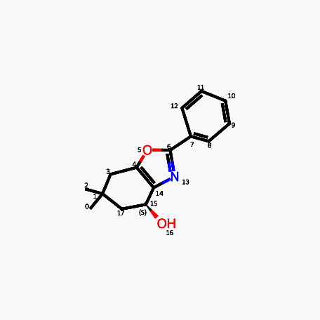 CC1(C)Cc2oc(-c3ccccc3)nc2[C@@H](O)C1